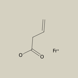 C=CCC(=O)[O-].[Fr+]